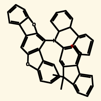 CC1(C)c2ccccc2-c2ccc(N(c3c4oc5ccccc5c4cc4oc5ccccc5c34)C3C=CC=CC3c3ccccc3)cc21